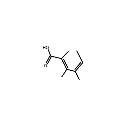 CC=C(C)C(C)=C(C)C(=O)O